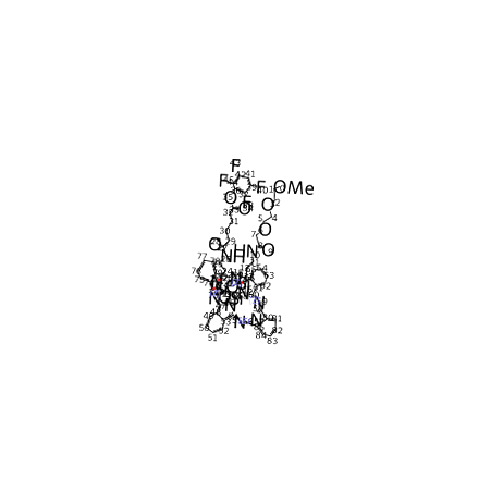 COCCOCCOCC(=O)NCCC[Si](C)(C)O[Si]1(O[Si](C)(C)CCCNC(=O)CCCCC(=O)Oc2c(F)c(F)cc(F)c2F)n2c3c4ccccc4c2/N=C2N=C(/N=c4/c5ccccc5/c(n41)=N/C1=NC(=N\3)/c3ccccc31)c1ccccc1\2